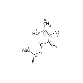 [C-]#[N+]/C(C(=O)OCC(CC)CCCC)=C(\C)O